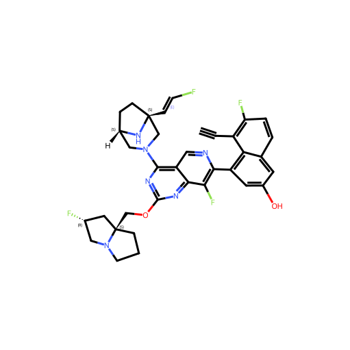 C#Cc1c(F)ccc2cc(O)cc(-c3ncc4c(N5C[C@@H]6CC[C@](/C=C/F)(C5)N6)nc(OC[C@@]56CCCN5C[C@H](F)C6)nc4c3F)c12